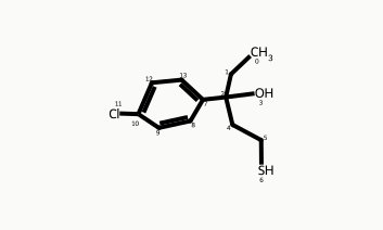 CCC(O)(CCS)c1ccc(Cl)cc1